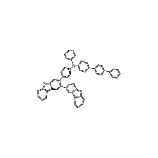 c1ccc(-c2ccc(-c3ccc(N(c4ccccc4)c4ccc(-c5cc6sc7ccccc7c6cc5-c5ccc6sc7ccccc7c6c5)cc4)cc3)cc2)cc1